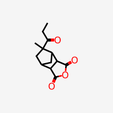 CCC(=O)C1(C)CC2CC1C1C(=O)OC(=O)C21